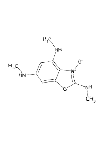 CNc1cc(NC)c2c(c1)oc(NC)[n+]2[O-]